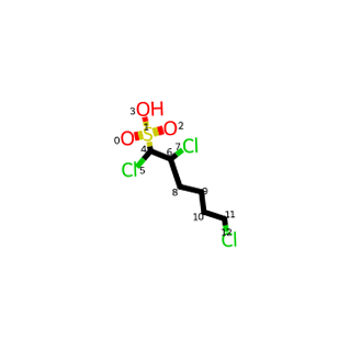 O=S(=O)(O)C(Cl)C(Cl)CCCCCl